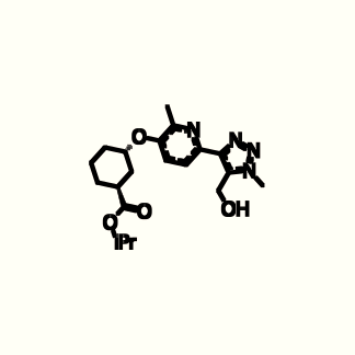 Cc1nc(-c2nnn(C)c2CO)ccc1O[C@H]1CCC[C@H](C(=O)OC(C)C)C1